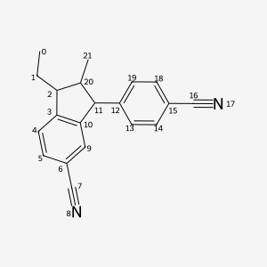 CCC1c2ccc(C#N)cc2C(c2ccc(C#N)cc2)C1C